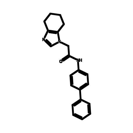 O=C(Cn1cnc2c1CCCC2)Nc1ccc(-c2ccccc2)cc1